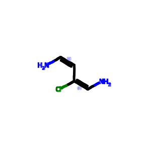 N/C=C\C(Cl)=C/N